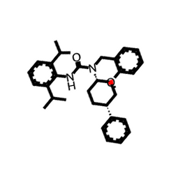 COc1ccccc1CN(C(=O)Nc1c(C(C)C)cccc1C(C)C)[C@H]1CC[C@@H](c2ccccc2)CC1